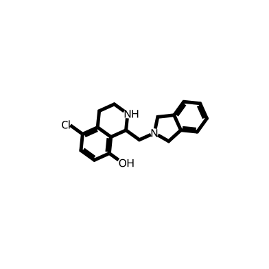 Oc1ccc(Cl)c2c1C(CN1Cc3ccccc3C1)NCC2